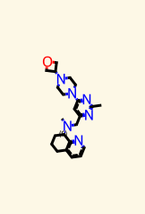 Cc1nc(CN(C)[C@H]2CCCc3cccnc32)cc(N2CCN(C3COC3)CC2)n1